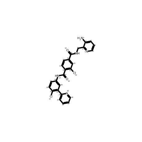 Nc1cccnc1CNC(=O)c1ccc(C(=O)Nc2ccc(Cl)c(-c3ccccn3)c2)c(Cl)c1